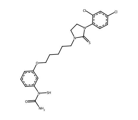 NC(=O)N(S)c1cccc(OCCCCCN2CCN(c3ccc(Cl)cc3Cl)C2=S)c1